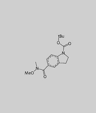 CON(C)C(=O)c1ccc2c(c1)CCN2C(=O)OC(C)(C)C